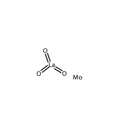 [Mo].[O]=[La](=[O])=[O]